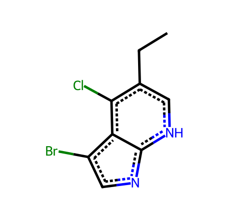 CCc1c[nH]c2ncc(Br)c-2c1Cl